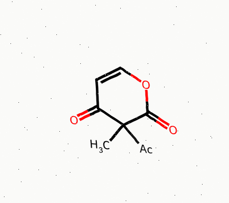 CC(=O)C1(C)C(=O)C=COC1=O